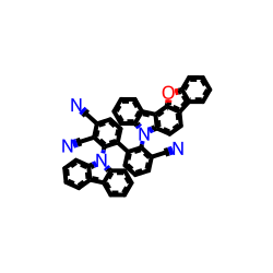 N#Cc1ccc(-c2cccc(C#N)c2-n2c3ccccc3c3c4oc5ccccc5c4ccc32)c(-n2c3ccccc3c3ccccc32)c1C#N